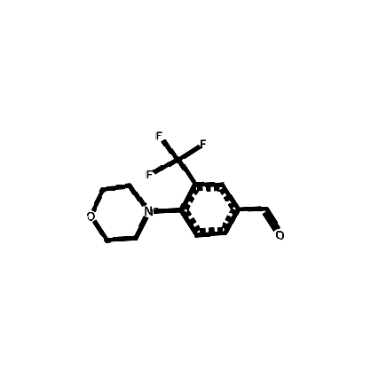 O=Cc1ccc(N2CCOCC2)c(C(F)(F)F)c1